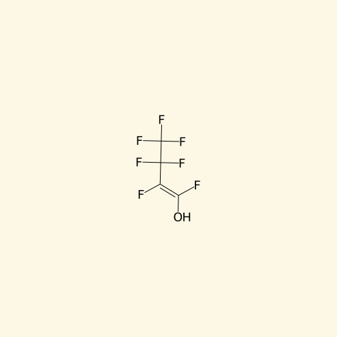 OC(F)=C(F)C(F)(F)C(F)(F)F